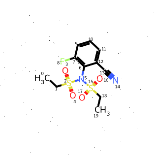 CCS(=O)(=O)N(c1c(F)cccc1C#N)S(=O)(=O)CC